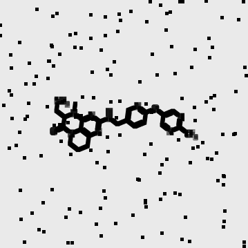 CN1c2nc(NCc3ccc(Oc4cnc(C(F)(F)F)nc4)nc3)nc3c2N(CCC3)C(=O)C1CN